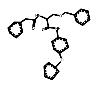 O=C(Cc1ccccc1)NC(COCc1ccccc1)C(=O)Nc1ccc(Oc2ccccc2)cc1